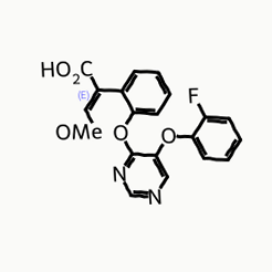 CO/C=C(/C(=O)O)c1ccccc1Oc1ncncc1Oc1ccccc1F